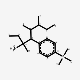 CCC(C)C(C)C(c1ccc(S(C)(C)C)cc1)C(C)(N)CC